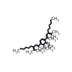 CCCCCCC(/C=C(\C)C1=CC=C(/C(C)=C/C(CCCCCC)=C(C)C)C(=N/C)/C1=N\C)=C(C)C